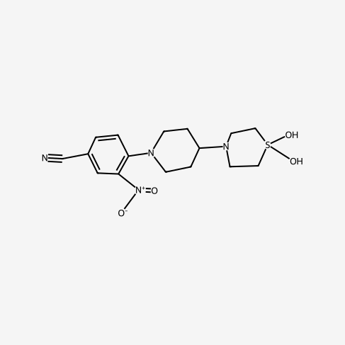 N#Cc1ccc(N2CCC(N3CCS(O)(O)CC3)CC2)c([N+](=O)[O-])c1